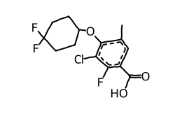 Cc1cc(C(=O)O)c(F)c(Cl)c1OC1CCC(F)(F)CC1